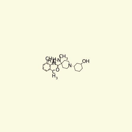 Cc1cccc(C)c1NC(=O)C1(N(C)C)CCN([C@H]2CCC[C@H](O)C2)CC1